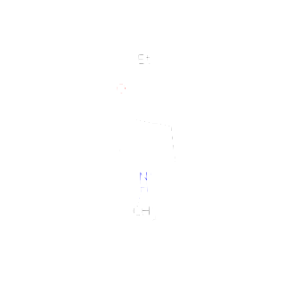 [CH2-][NH+]1CC[C@@H](OCC)C1